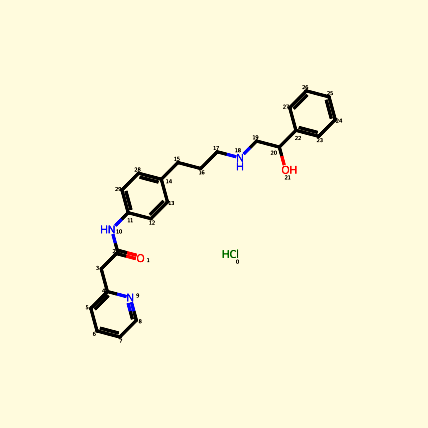 Cl.O=C(Cc1ccccn1)Nc1ccc(CCCNCC(O)c2ccccc2)cc1